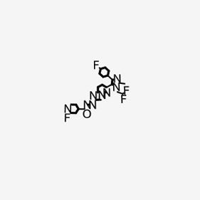 Cc1nc(-c2ccc(F)cc2)c(-c2ccc3nc(N=NC(=O)c4ccnc(F)c4)cn3n2)n1CC(F)F